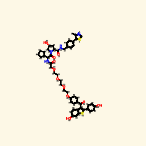 Cc1ncsc1-c1ccc(CNC(=O)[C@@H]2C[C@@H](O)CN2C(=O)C(NC(=O)COCCOCCOCCOc2ccc(C(=O)c3c(-c4ccc(O)cc4)sc4cc(O)ccc34)cc2)C2CCCC2)cc1